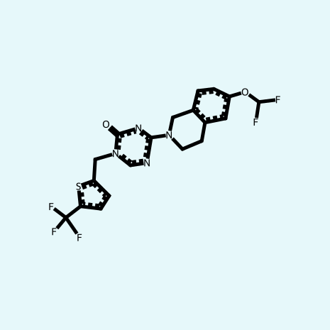 O=c1nc(N2CCc3cc(OC(F)F)ccc3C2)ncn1Cc1ccc(C(F)(F)F)s1